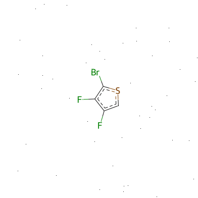 Fc1csc(Br)c1F